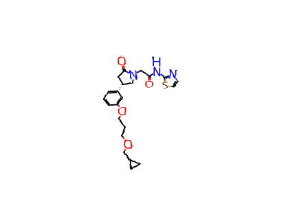 O=C(CN1C[C@H](c2cccc(OCCCOCC3CC3)c2)CC1=O)Nc1nccs1